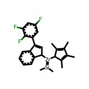 CC1=C(C)[CH]([Zr]([CH]2C=C(c3cc(F)cc(F)c3F)c3ccccc32)=[Si](C)C)C(C)=C1C